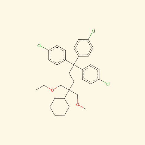 CCOCC(CCC(c1ccc(Cl)cc1)(c1ccc(Cl)cc1)c1ccc(Cl)cc1)(COC)C1CCCCC1